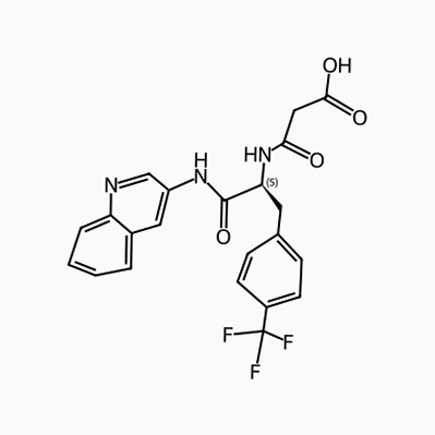 O=C(O)CC(=O)N[C@@H](Cc1ccc(C(F)(F)F)cc1)C(=O)Nc1cnc2ccccc2c1